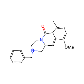 COC1=CC=C(C)C2C(=O)N3CCN(Cc4ccccc4)CC3C=C12